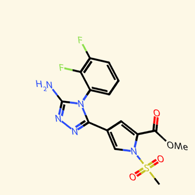 COC(=O)c1cc(-c2nnc(N)n2-c2cccc(F)c2F)cn1S(C)(=O)=O